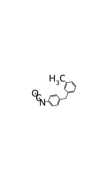 Cc1cccc(Cc2ccc(N=C=O)cc2)c1